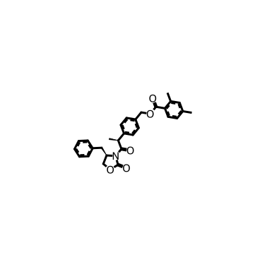 Cc1ccc(C(=O)OCc2ccc([C@H](C)C(=O)N3C(=O)OC[C@H]3Cc3ccccc3)cc2)c(C)c1